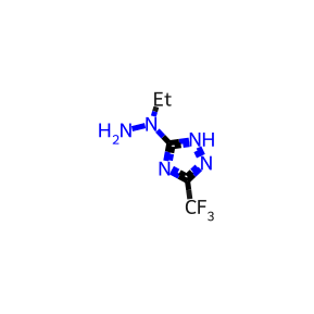 CCN(N)c1nc(C(F)(F)F)n[nH]1